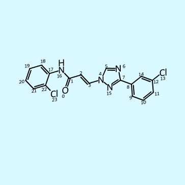 O=C(/C=C/n1cnc(-c2cccc(Cl)c2)n1)Nc1ccccc1Cl